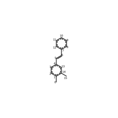 Cc1ccc(/C=C/c2ccccc2)cc1C